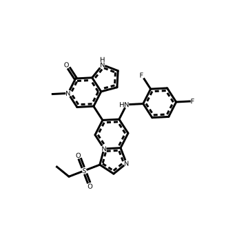 CCS(=O)(=O)c1cnc2cc(Nc3ccc(F)cc3F)c(-c3cn(C)c(=O)c4[nH]ccc34)cn12